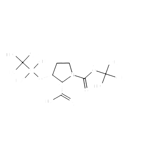 CC(C)(C)OC(=O)N1CC[C@@H](O[Si](C)(C)C(C)(C)C)[C@H]1C(=O)O